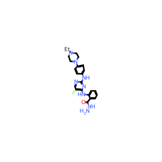 CCN1CCN(c2ccc(Nc3ncc(F)c(Nc4ccccc4C(=O)NN)n3)cc2)CC1